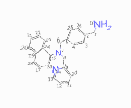 NCc1ccc(CN(Cc2ccccn2)c2cccc3ccccc23)cc1